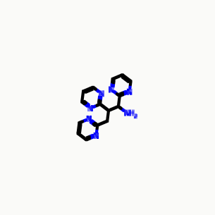 NC(c1ncccn1)C(Cc1ncccn1)c1ncccn1